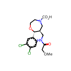 COCC(=O)NC[C@@H]1CN(C(=O)O)CCO[C@H]1c1ccc(Cl)c(Cl)c1